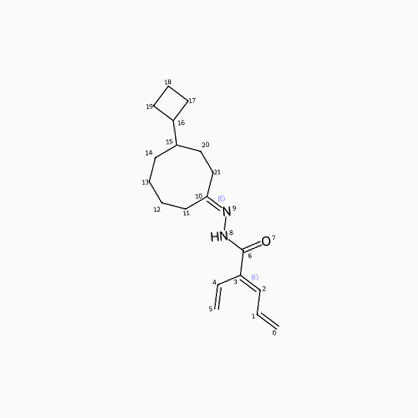 C=C/C=C(\C=C)C(=O)N/N=C1\CCCCC(C2CCC2)CC1